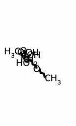 CCCCCOCCCC(O)C(O)C(N)(COC)C(=O)O